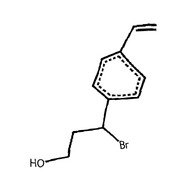 C=Cc1ccc(C(Br)CCO)cc1